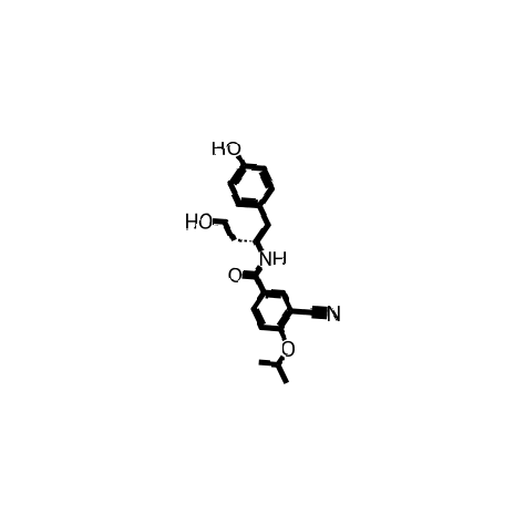 CC(C)Oc1ccc(C(=O)N[C@H](CCO)Cc2ccc(O)cc2)cc1C#N